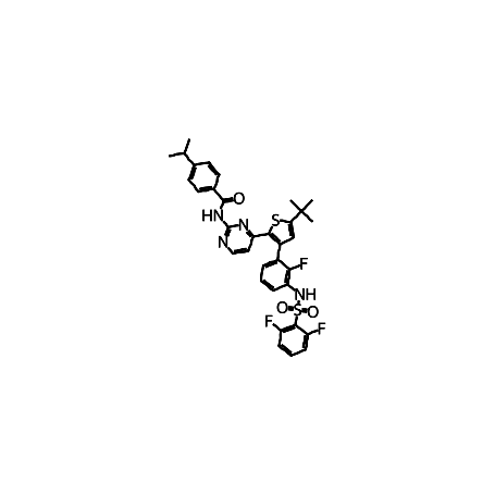 CC(C)c1ccc(C(=O)Nc2nccc(-c3sc(C(C)(C)C)cc3-c3cccc(NS(=O)(=O)c4c(F)cccc4F)c3F)n2)cc1